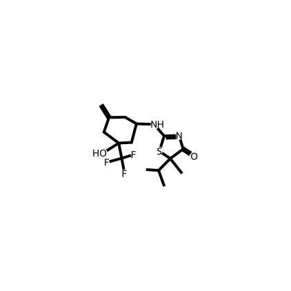 C=C1CC(NC2=NC(=O)C(C)(C(C)C)S2)CC(O)(C(F)(F)F)C1